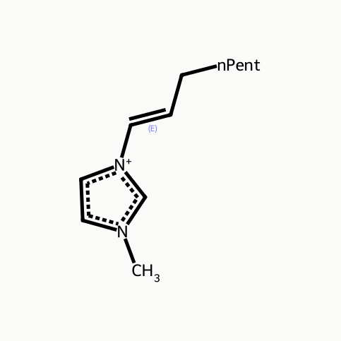 CCCCCC/C=C/[n+]1ccn(C)c1